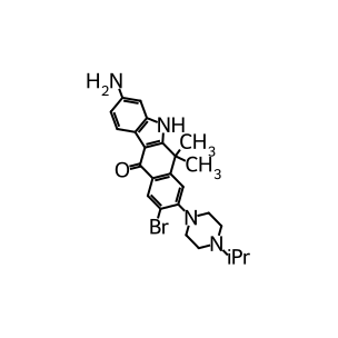 CC(C)N1CCN(c2cc3c(cc2Br)C(=O)c2c([nH]c4cc(N)ccc24)C3(C)C)CC1